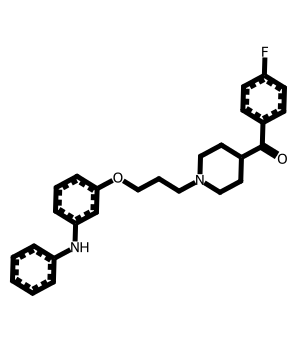 O=C(c1ccc(F)cc1)C1CCN(CCCOc2cccc(Nc3ccccc3)c2)CC1